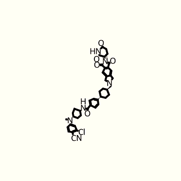 CN(c1ccc(C#N)c(Cl)c1)[C@H]1CC[C@H](NC(=O)c2ccc([C@H]3CC[C@H](CN4Cc5cc6c(cc5C4)C(=O)N([C@H]4CCC(=O)NC4=O)C6=O)CC3)cc2)CC1